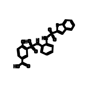 O=C(O)c1ccc(O)c(S(=O)(=O)Nc2ccccc2NS(=O)(=O)c2cc3ccccc3s2)c1